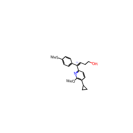 COc1nc(/C(=C\CCO)c2ccc(SC)cc2)ccc1C1CC1